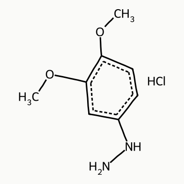 COc1ccc(NN)cc1OC.Cl